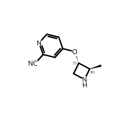 C[C@H]1NC[C@@H]1Oc1ccnc(C#N)c1